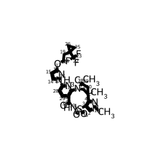 Cn1cc2c(n1)[C@@]1(C)CN(c3nc(-n4ccc(OCCC5(C(F)(F)F)CC5)n4)ccc3C(=O)NS2(=O)=O)C(C)(C)C1